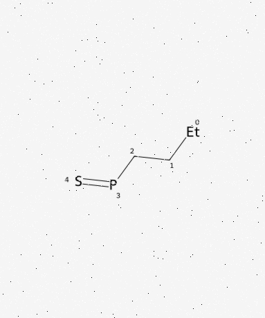 [CH2]CCCP=S